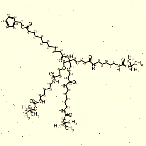 CC(C)(C)OC(=O)NCCCCCNC(=O)CCOCC(COCCC(=O)NCCCCCNC(=O)OC(C)(C)C)(COCCC(=O)NCCCCCNC(=O)OC(C)(C)C)NC(=O)CCCCCCCCCCC(=O)OCc1ccccc1